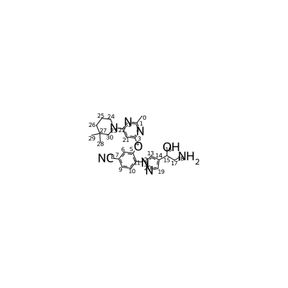 Cc1nc(Oc2cc(C#N)ccc2-n2cc(C(O)CN)cn2)cc(N2CCCC(C)(C)C2)n1